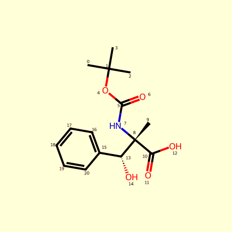 CC(C)(C)OC(=O)N[C@](C)(C(=O)O)[C@H](O)c1ccccc1